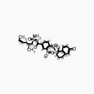 C/C=C\C[C@H](C)C[S@](N)(=O)=NC(=O)c1ccc(OC[C@@]2(OC)CCCc3cc(Cl)ccc32)c([N+](=O)[O-])c1